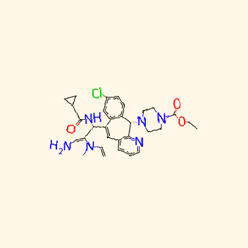 C=CN(C)/C(=C\N)[C@H](NC(=O)C1CC1)C1=Cc2cccnc2[C@@H](N2CCN(C(=O)OCC)CC2)c2ccc(Cl)cc21